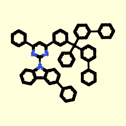 c1ccc(-c2cccc([Si](c3ccccc3)(c3cccc(-c4ccccc4)c3)c3cccc(-c4cc(-c5ccccc5)nc(-n5c6ccccc6c6cc(-c7ccccc7)ccc65)n4)c3)c2)cc1